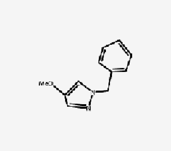 COc1cnn(Cc2ccccc2)c1